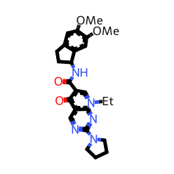 CCn1cc(C(=O)NC2CCc3cc(OC)c(OC)cc32)c(=O)c2cnc(N3CCCC3)nc21